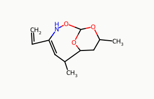 C=C/C1=C/C(C)C2CC(C)OC(ON1)O2